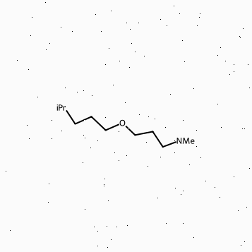 CNCCCOCCCC(C)C